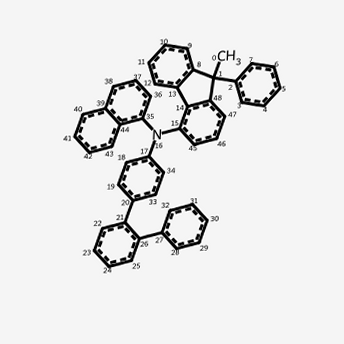 CC1(c2ccccc2)c2ccccc2-c2c(N(c3ccc(-c4ccccc4-c4ccccc4)cc3)c3cccc4ccccc34)cccc21